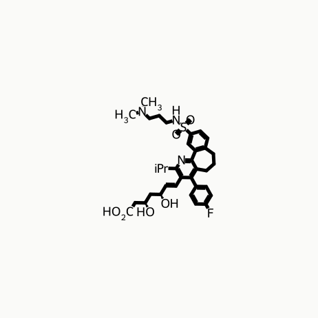 CC(C)c1nc2c(c(-c3ccc(F)cc3)c1/C=C/[C@@H](O)C[C@@H](O)CC(=O)O)CCCc1ccc(S(=O)(=O)NCCCN(C)C)cc1-2